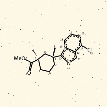 COC(=O)[C@]1(C)CCC[C@@](C)(c2ncc3c(Cl)nccn23)C1